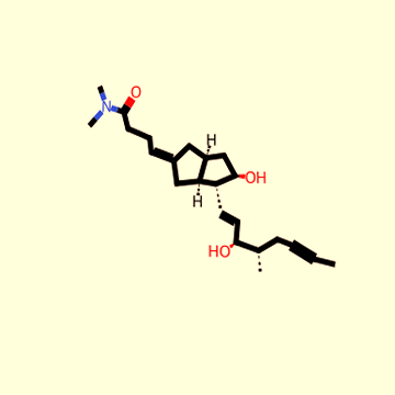 CC#CC[C@H](C)[C@H](O)/C=C/[C@@H]1[C@H]2C/C(=C/CCC(=O)N(C)C)C[C@H]2C[C@H]1O